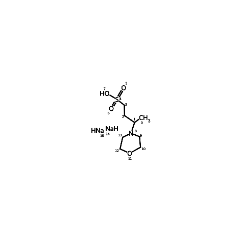 CC(CCS(=O)(=O)O)N1CCOCC1.[NaH].[NaH]